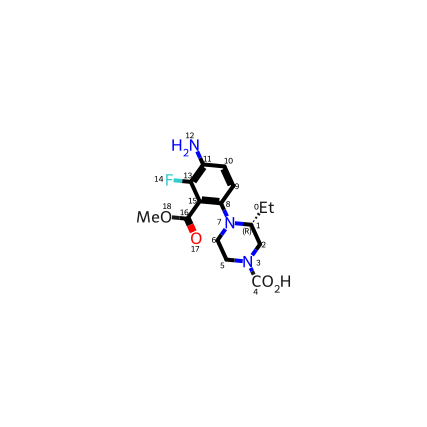 CC[C@@H]1CN(C(=O)O)CCN1c1ccc(N)c(F)c1C(=O)OC